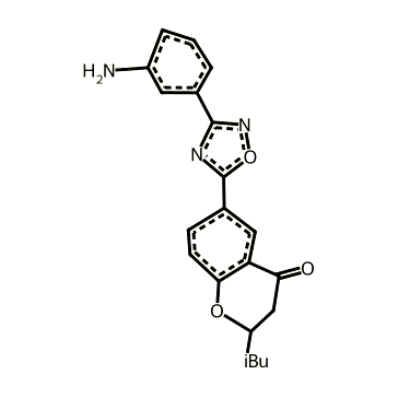 CCC(C)C1CC(=O)c2cc(-c3nc(-c4cccc(N)c4)no3)ccc2O1